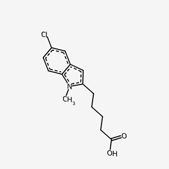 Cn1c(CCCCC(=O)O)cc2cc(Cl)ccc21